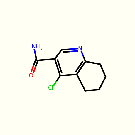 NC(=O)c1cnc2c(c1Cl)CCCC2